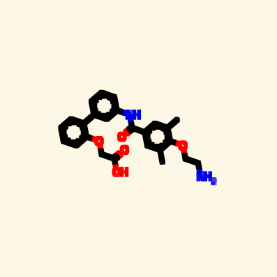 Cc1cc(C(=O)Nc2cccc(-c3ccccc3OCC(=O)O)c2)cc(C)c1OCCN